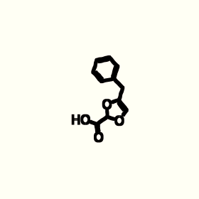 O=C(O)C1OC=C(Cc2ccccc2)O1